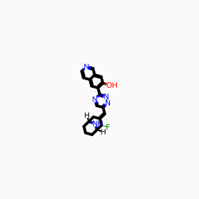 Oc1cc2cnccc2cc1-c1ncc(/C=C2\C[C@H]3CCC[C@H](N3)[C@H]2F)nn1